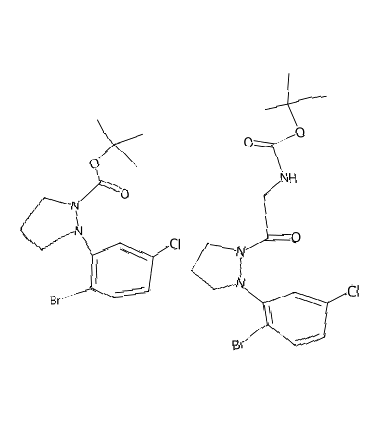 CC(C)(C)OC(=O)N1CCCN1c1cc(Cl)ccc1Br.CC(C)(C)OC(=O)NCC(=O)N1CCCN1c1cc(Cl)ccc1Br